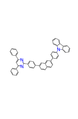 c1ccc(-c2cc(-c3ccccc3)nc(-c3ccc(-c4ccc5ccc(-c6ccc(-n7c8ccccc8c8ccccc87)cc6)cc5c4)cc3)n2)cc1